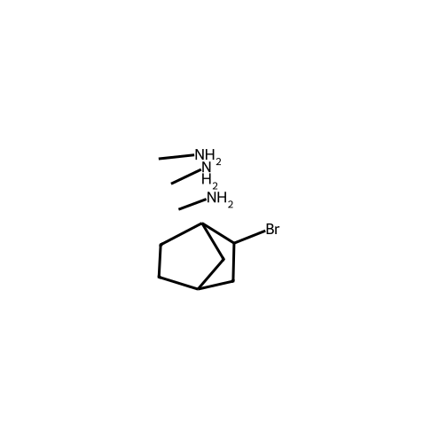 BrC1CC2CCC1C2.CN.CN.CN